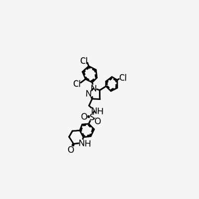 O=C1CCc2cc(S(=O)(=O)NCC3=NN(c4ccc(Cl)cc4Cl)C(c4ccc(Cl)cc4)C3)ccc2N1